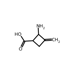 C=C1CC(C(=O)O)C1N